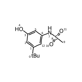 CC(C)(C)c1cc(O)cc(NS(C)(=O)=O)c1